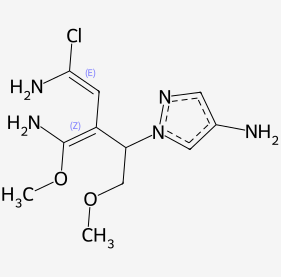 COCC(C(/C=C(\N)Cl)=C(/N)OC)n1cc(N)cn1